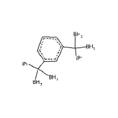 BC(B)(c1cccc(C(B)(B)C(C)C)c1)C(C)C